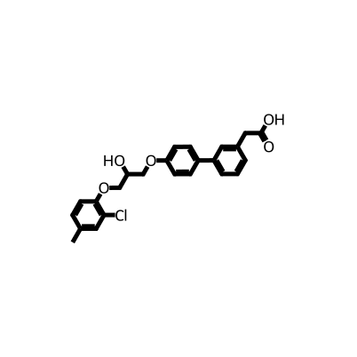 Cc1ccc(OCC(O)COc2ccc(-c3cccc(CC(=O)O)c3)cc2)c(Cl)c1